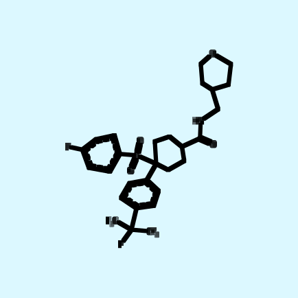 O=C(NCC1CCOCC1)C1CCC(c2ccc(C(F)(C(F)(F)F)C(F)(F)F)cc2)(S(=O)(=O)c2ccc(F)cc2)CC1